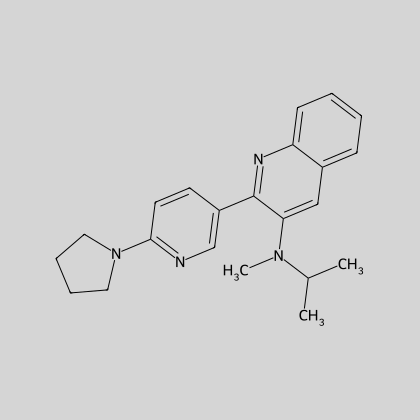 CC(C)N(C)c1cc2ccccc2nc1-c1ccc(N2CCCC2)nc1